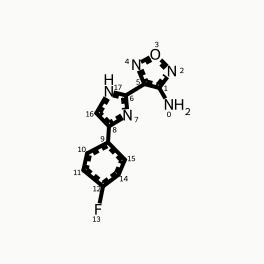 Nc1nonc1-c1nc(-c2ccc(F)cc2)c[nH]1